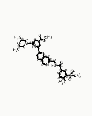 COC(=O)c1cc(-c2ccc3cnc(CNC(=O)c4ccc(C)c(S(C)(=O)=O)c4)cc3n2)nc(N2C[C@@H](C)O[C@@H](C)C2)c1